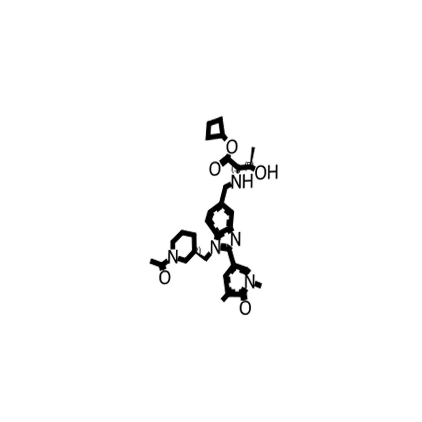 CC(=O)N1CCC[C@@H](Cn2c(-c3cc(C)c(=O)n(C)c3)nc3cc(CN[C@H](C(=O)OC4CCC4)[C@@H](C)O)ccc32)C1